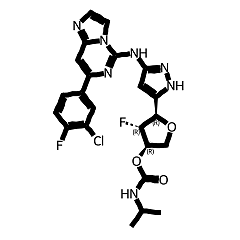 CC(C)NC(=O)O[C@@H]1CO[C@H](c2cc(Nc3nc(-c4ccc(F)c(Cl)c4)cc4nccn34)n[nH]2)[C@H]1F